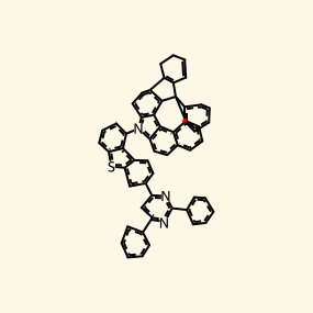 C1=CC2=C(CC1)c1ccc3c4c1C2(c1ccccc1)c1cccc2ccc(c4c12)n3-c1cccc2sc3cc(-c4cc(-c5ccccc5)nc(-c5ccccc5)n4)ccc3c12